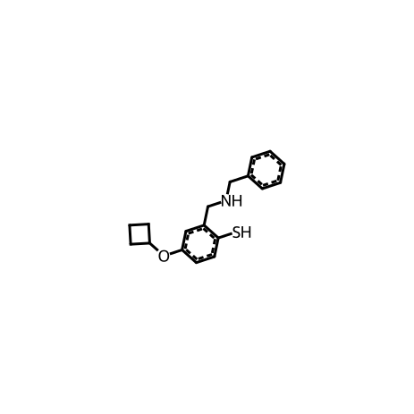 Sc1ccc(OC2CCC2)cc1CNCc1ccccc1